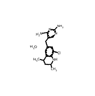 CC1CC(C)c2cc(Cc3cnc(N)nc3N)cc(Cl)c2N1.O